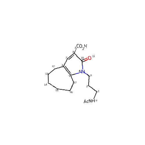 CC(=O)NCCCn1c2c(cc(C(=O)O)c1=O)CCCCCC2